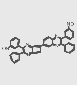 O=Nc1cccc(-c2nc3ccc(-c4ccc5nc(-c6ccccc6)c(-c6cccc(N=O)c6)nc5c4)cc3nc2-c2ccccc2)c1